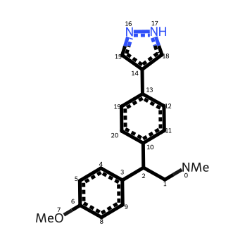 CNCC(c1ccc(OC)cc1)c1ccc(-c2cn[nH]c2)cc1